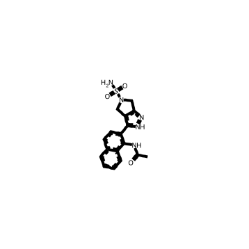 CC(=O)Nc1c(-c2[nH]nc3c2CN(S(N)(=O)=O)C3)ccc2ccccc12